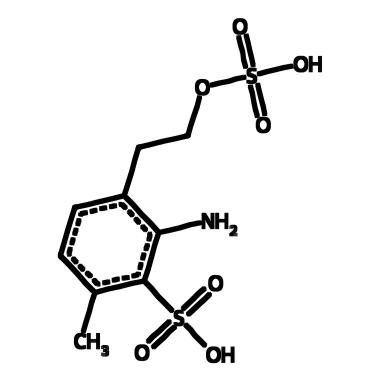 Cc1ccc(CCOS(=O)(=O)O)c(N)c1S(=O)(=O)O